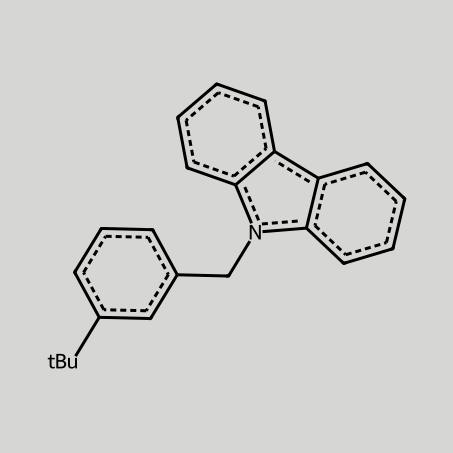 CC(C)(C)c1cccc(Cn2c3ccccc3c3ccccc32)c1